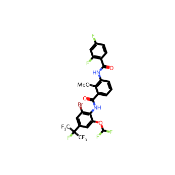 COc1c(NC(=O)c2ccc(F)cc2F)cccc1C(=O)Nc1c(Br)cc(C(F)(C(F)(F)F)C(F)(F)F)cc1OC(F)F